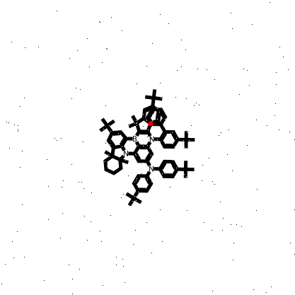 CC(C)(C)c1ccc(N(c2ccc(C(C)(C)C)cc2)c2cc3c4c(c2)N2c5c(cc(C(C)(C)C)cc5C5(C)CCCCC25C)B4C2=C(c4ccc(C(C)(C)C)cc4C2(C)C)N3c2ccc(C(C)(C)C)cc2-c2ccccc2)cc1